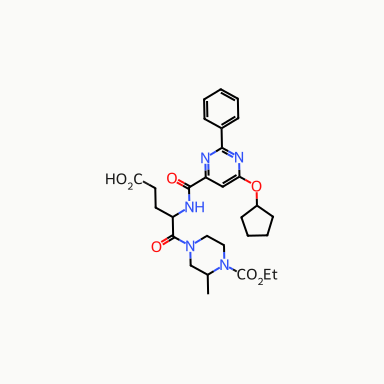 CCOC(=O)N1CCN(C(=O)C(CCC(=O)O)NC(=O)c2cc(OC3CCCC3)nc(-c3ccccc3)n2)CC1C